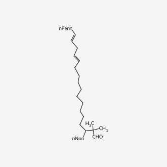 CCCCCC=CCC=CCCCCCCCCCC(CCCCCCCCC)C(C)(C)C=O